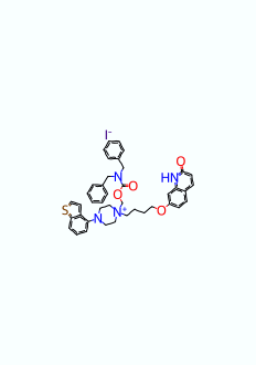 O=C(OC[N+]1(CCCCOc2ccc3ccc(=O)[nH]c3c2)CCN(c2cccc3sccc23)CC1)N(Cc1ccccc1)Cc1ccccc1.[I-]